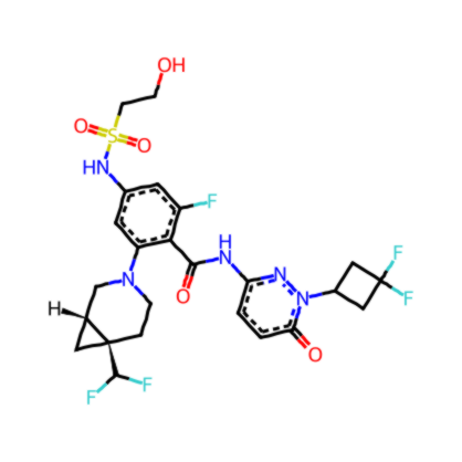 O=C(Nc1ccc(=O)n(C2CC(F)(F)C2)n1)c1c(F)cc(NS(=O)(=O)CCO)cc1N1CC[C@]2(C(F)F)C[C@@H]2C1